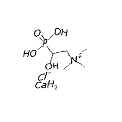 C[N+](C)(C)CC(O)P(=O)(O)O.[CaH2].[Cl-]